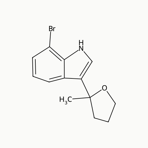 CC1(c2c[nH]c3c(Br)cccc23)CCCO1